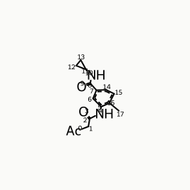 CC(=O)CC(=O)Nc1cc(C(=O)NC2CC2)ccc1C